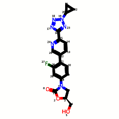 O=C1O[C@H](CO)CN1c1ccc(-c2ccc(-c3nnn(C4CC4)n3)nc2)c(F)c1